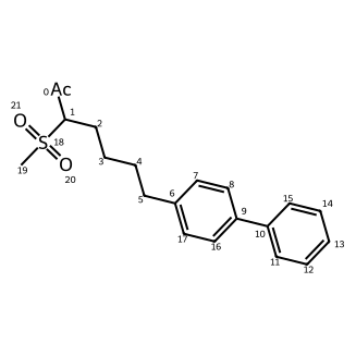 CC(=O)C(CCCCc1ccc(-c2ccccc2)cc1)S(C)(=O)=O